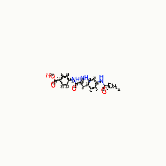 CC(=O)Nc1ccc(C[C@H](N)C(=O)Nc2ccc(C(=O)O)cc2)cc1